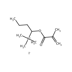 C=C(C)C(=O)OC(CCC)[N+](C)(C)C.[I-]